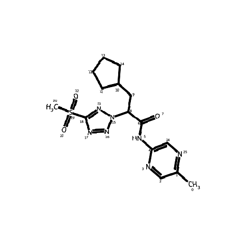 Cc1cnc(NC(=O)C(CC2CCCC2)n2nnc(S(C)(=O)=O)n2)cn1